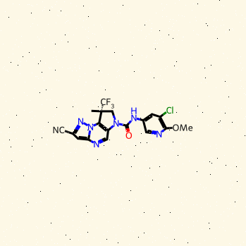 COc1ncc(NC(=O)N2C[C@@](C)(C(F)(F)F)c3c2cnc2cc(C#N)nn32)cc1Cl